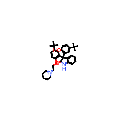 CC(C)(C)c1ccc(O)c(C2(c3cc(C(C)(C)C)ccc3OCCN3CCCCC3)C(=O)Nc3ccccc32)c1